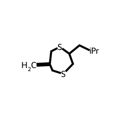 C=C1CSCC(CC(C)C)SC1